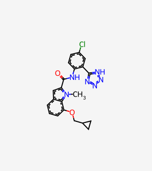 Cn1c(C(=O)Nc2ccc(Cl)cc2-c2nnn[nH]2)cc2cccc(OCC3CC3)c21